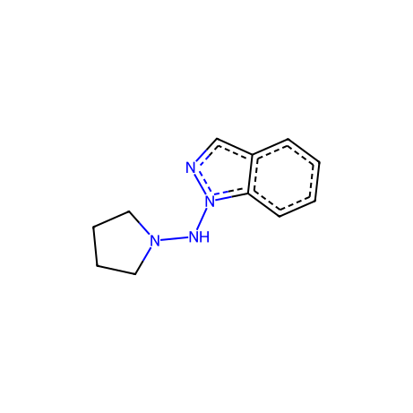 c1ccc2c(c1)cnn2NN1CCCC1